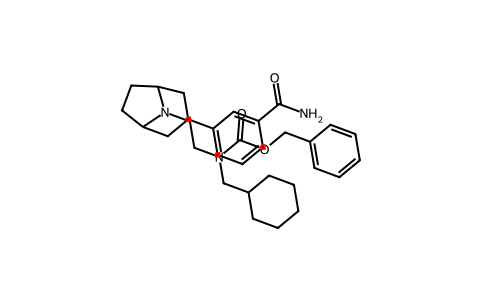 NC(=O)c1cccc(C2CC3CCC(C2)N3CCN(CC2CCCCC2)C(=O)OCc2ccccc2)c1